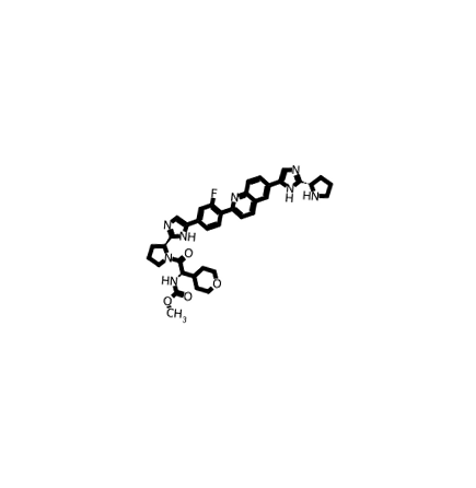 COC(=O)N[C@H](C(=O)N1CCC[C@H]1c1ncc(-c2ccc(-c3ccc4cc(-c5cnc([C@@H]6CCCN6)[nH]5)ccc4n3)c(F)c2)[nH]1)C1CCOCC1